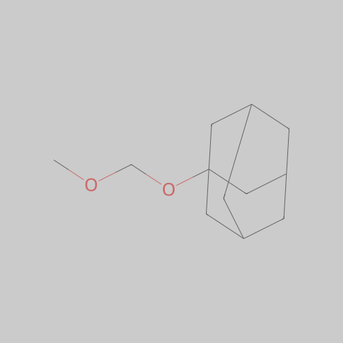 COCOC12CC3CC(CC(C3)C1)C2